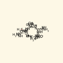 CC(=O)N[C@@H](CCCNC(=N)N)C(=O)N[C@H]1CCC(=O)NCCCC(C(N)=O)NC(=O)[C@H](Cc2c[nH]c3ccccc23)NC(=O)[C@H](CCCNC(=N)N)NC(=O)[C@@H](Cc2ccccc2)NC(=O)[C@H](CC[S+](C)[O-])NC1=O